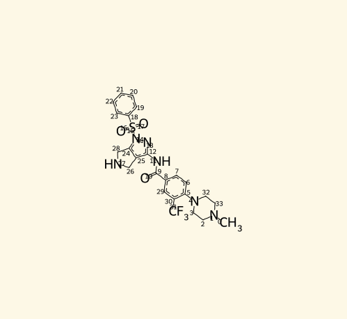 CN1CCN(c2ccc(C(=O)Nc3nn(S(=O)(=O)c4ccccc4)c4c3CNC4)cc2C(F)(F)F)CC1